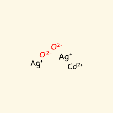 [Ag+].[Ag+].[Cd+2].[O-2].[O-2]